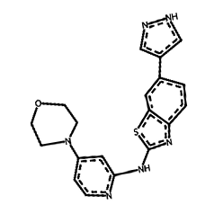 c1cc(N2CCOCC2)cc(Nc2nc3ccc(-c4cn[nH]c4)cc3s2)n1